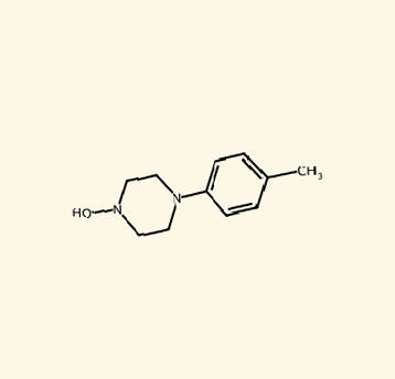 Cc1ccc(N2CCN(O)CC2)cc1